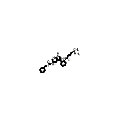 CN(C)C/C=C/C(=O)Nc1ccccc1-c1c[nH]c2ncc(NC(=O)OCc3ccccc3)cc12